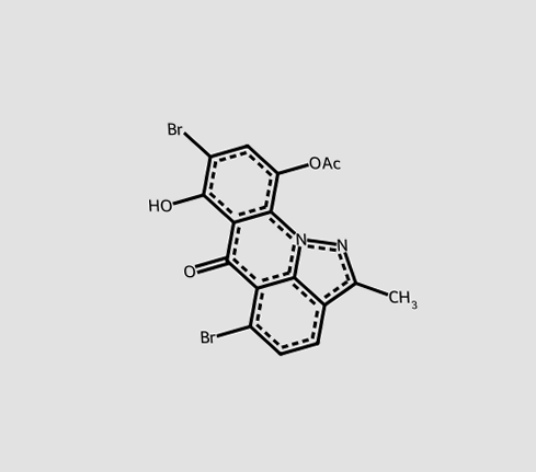 CC(=O)Oc1cc(Br)c(O)c2c(=O)c3c(Br)ccc4c(C)nn(c12)c43